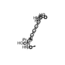 C#Cc1ccc([C@H](C)NC(=O)[C@@H]2C[C@@H](O)CN2C(=O)C(c2cc(N3CCC(N4CCC(N5CCC(N6CCN7c8cc(-c9ccccc9O)nnc8NC[C@H]7C6)CC5)CC4)CC3)no2)C(C)C)cc1